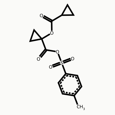 Cc1ccc(S(=O)(=O)OC(=O)C2(OC(=O)C3CC3)CC2)cc1